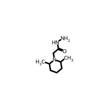 CC1CCCC(C)N1CC(=O)NN